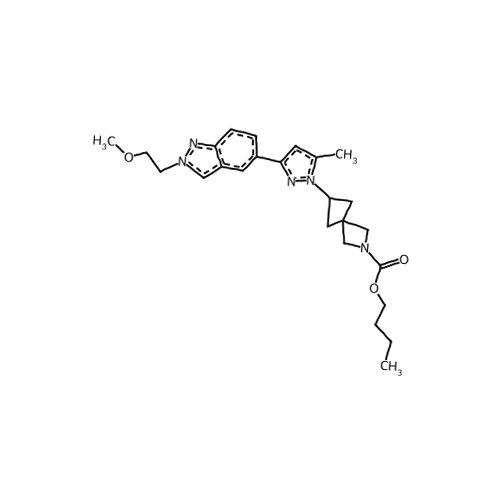 CCCCOC(=O)N1CC2(CC(n3nc(-c4ccc5nn(CCOC)cc5c4)cc3C)C2)C1